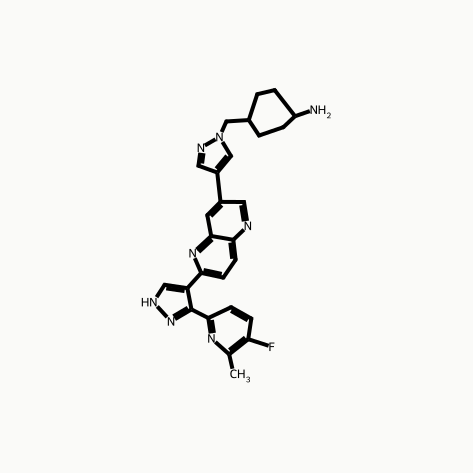 Cc1nc(-c2n[nH]cc2-c2ccc3ncc(-c4cnn(CC5CCC(N)CC5)c4)cc3n2)ccc1F